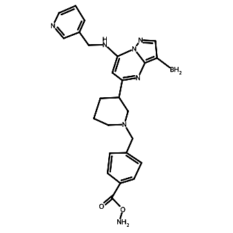 Bc1cnn2c(NCc3cccnc3)cc(C3CCCN(Cc4ccc(C(=O)ON)cc4)C3)nc12